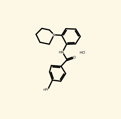 CCCc1ccc(C(=O)Nc2ccccc2N2CCCCC2)cc1.Cl